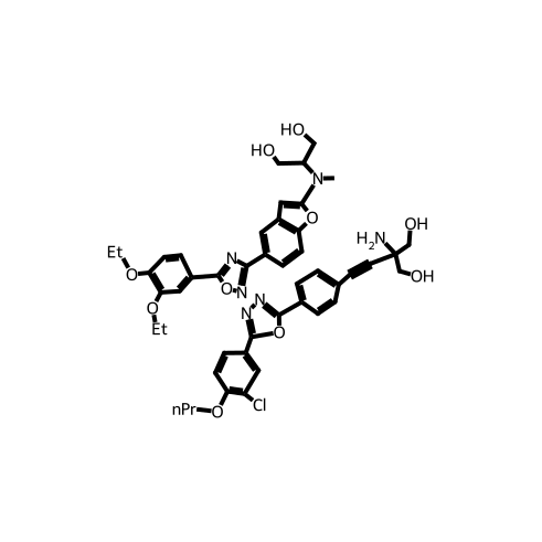 CCCOc1ccc(-c2nnc(-c3ccc(C#CC(N)(CO)CO)cc3)o2)cc1Cl.CCOc1ccc(-c2nc(-c3ccc4oc(N(C)C(CO)CO)cc4c3)no2)cc1OCC